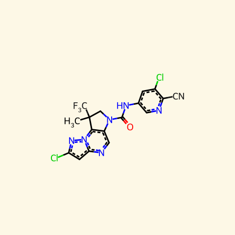 CC1(C(F)(F)F)CN(C(=O)Nc2cnc(C#N)c(Cl)c2)c2cnc3cc(Cl)nn3c21